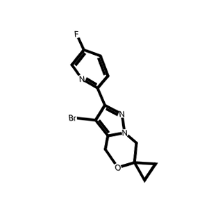 Fc1ccc(-c2nn3c(c2Br)COC2(CC2)C3)nc1